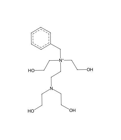 OCCN(CCO)CC[N+](CCO)(CCO)Cc1ccccc1